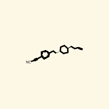 C=CCC[C@H]1CC[C@H](CCc2ccc(C#CC#N)cc2)CC1